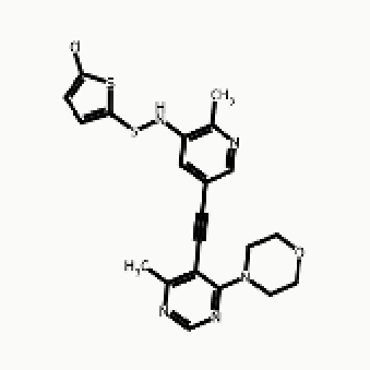 Cc1ncc(C#Cc2c(C)ncnc2N2CCOCC2)cc1NSc1ccc(Cl)s1